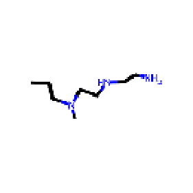 CCCN(C)CCNCCN